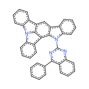 c1ccc(-c2nc(-n3c4ccccc4c4cc5c6ccccc6n6c7ccccc7c(c43)c56)nc3ccccc23)cc1